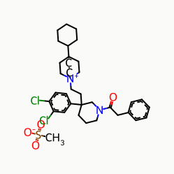 CS(=O)(=O)[O-].O=C(Cc1ccccc1)N1CCCC(CC[N+]23CCC(C4CCCCC4)(CC2)CC3)(c2ccc(Cl)c(Cl)c2)C1